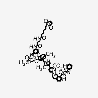 Cc1c(-c2ccc(N3CCc4cccc(C(=O)Nc5nc6ccccc6s5)c4C3)nc2C(=O)O)cnn1CC12CC3(C)CC(C)(C1)CC(OCCN(C)C(=O)OCc1cc[c]c(NC(=O)CCNC(=O)CCCCCN4C(=O)C=CC4=O)c1)(C3)C2